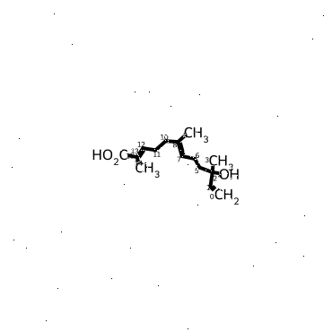 C=CC(C)(O)CCC=C(C)CCC=C(C)C(=O)O